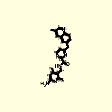 Cc1cnc2ccc(Cc3ccnc(C(=O)NCc4c(C)cc(N)nc4C)n3)cc2c1